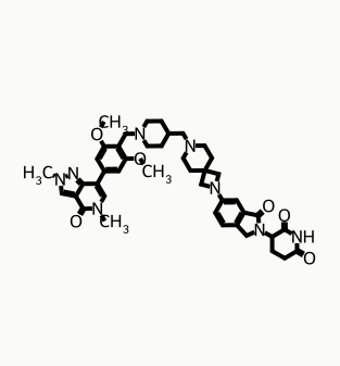 COc1cc(-c2cn(C)c(=O)c3cn(C)nc23)cc(OC)c1CN1CCC(CN2CCC3(CC2)CN(c2ccc4c(c2)C(=O)N(C2CCC(=O)NC2=O)C4)C3)CC1